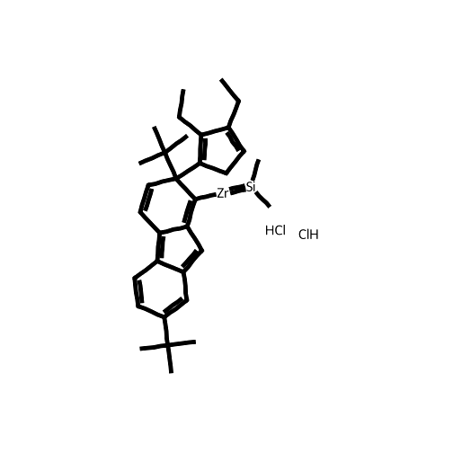 CCC1=CCC(C2(C(C)(C)C)C=CC3=c4ccc(C(C)(C)C)cc4=CC3=[C]2[Zr]=[Si](C)C)=C1CC.Cl.Cl